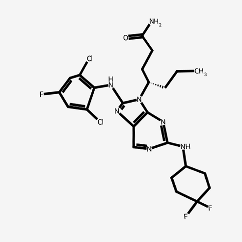 CCC[C@@H](CCC(N)=O)n1c(Nc2c(Cl)cc(F)cc2Cl)nc2cnc(NC3CCC(F)(F)CC3)nc21